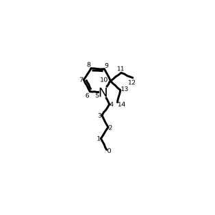 CCCCCN1C=CC=CC1(CC)CC